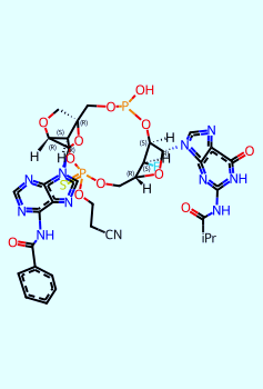 CC(C)C(=O)Nc1nc2c(ncn2[C@@H]2O[C@@H]3COP(=S)(OCCC#N)O[C@H]4[C@H]5OC[C@]4(COP(O)O[C@@H]2[C@H]3F)O[C@H]5n2cnc3c(NC(=O)c4ccccc4)ncnc32)c(=O)[nH]1